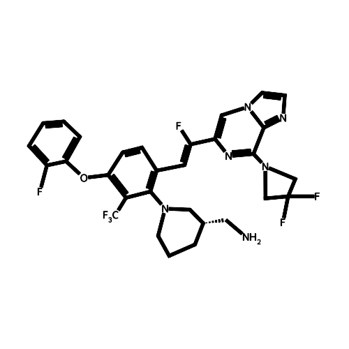 NC[C@@H]1CCCN(c2c(/C=C(\F)c3cn4ccnc4c(N4CC(F)(F)C4)n3)ccc(Oc3ccccc3F)c2C(F)(F)F)C1